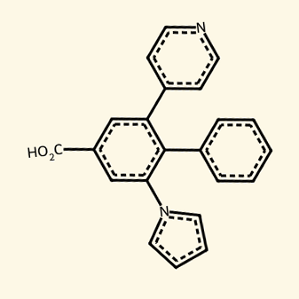 O=C(O)c1cc(-c2ccncc2)c(-c2ccccc2)c(-n2cccc2)c1